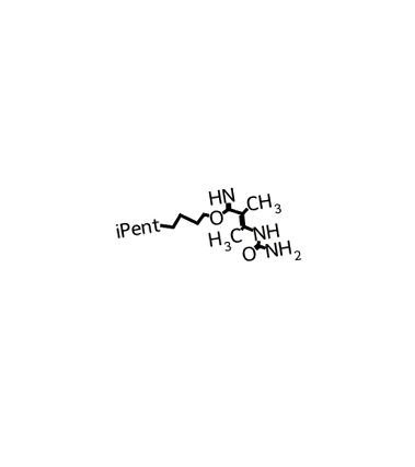 CCCC(C)CCCCOC(=N)/C(C)=C(\C)NC(N)=O